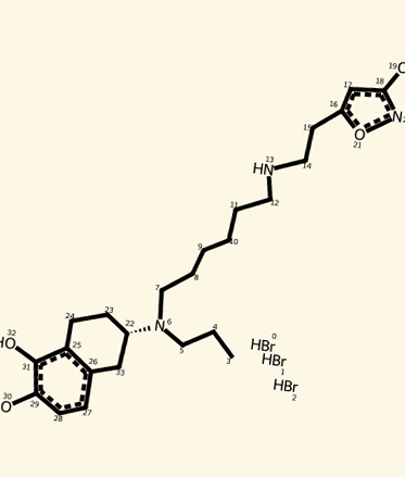 Br.Br.Br.CCCN(CCCCCCNCCc1cc(O)no1)[C@H]1CCc2c(ccc(O)c2O)C1